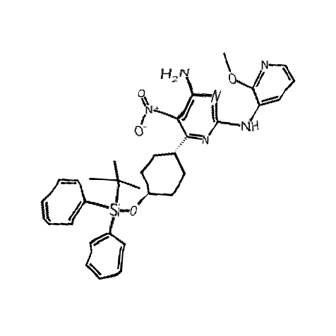 COc1ncccc1Nc1nc(N)c([N+](=O)[O-])c([C@H]2CC[C@H](O[Si](c3ccccc3)(c3ccccc3)C(C)(C)C)CC2)n1